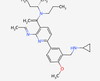 C=C(c1ccc(-c2ccc(OC)c(CNC3CC3)c2)nc1/N=C/C)N(CCC)[C@@H](C)CC